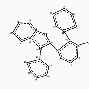 Cc1cccc(-c2nc3ccccc3n2-c2ccccc2)c1-c1ccccc1